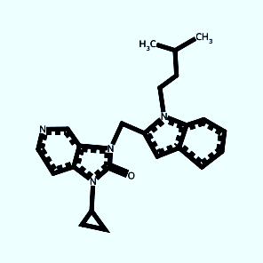 CC(C)CCn1c(Cn2c(=O)n(C3CC3)c3ccncc32)cc2ccccc21